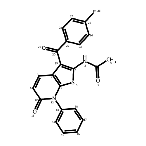 CC(=O)Nc1sc2c(ccc(=O)n2-c2ccccc2)c1C(=O)c1ccc(F)cc1